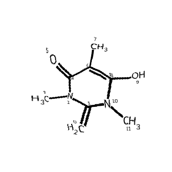 C=C1N(C)C(=O)C(C)=C(O)N1C